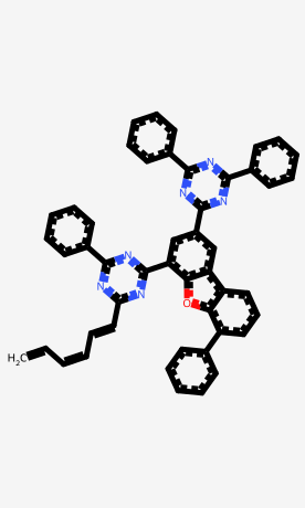 C=C/C=C\C=C\c1nc(-c2ccccc2)nc(-c2cc(-c3nc(-c4ccccc4)nc(-c4ccccc4)n3)cc3c2oc2c(-c4ccccc4)cccc23)n1